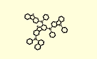 c1ccc(N(c2cc(N(c3ccccc3)c3ccc4c(c3)sc3ccccc34)c3sc4ccc(N(c5ccccc5)c5cccc6ccccc56)cc4c3c2)c2ccc3c4ccccc4n(-c4ccccc4)c3c2)cc1